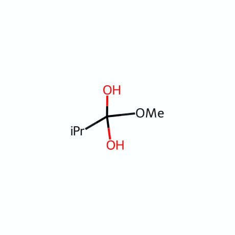 COC(O)(O)C(C)C